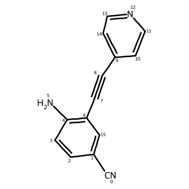 N#Cc1ccc(N)c(C#Cc2ccncc2)c1